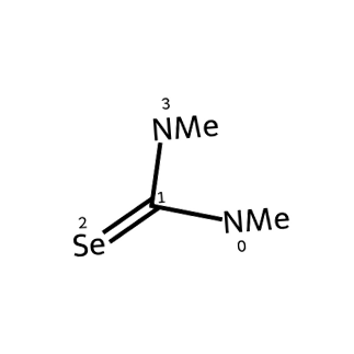 CNC(=[Se])NC